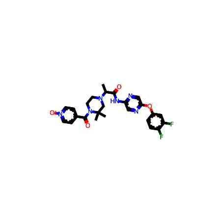 CC(C(=O)Nc1cnc(Oc2ccc(F)c(F)c2)cn1)N1CCN(C(=O)c2cc[n+]([O-])cc2)C(C)(C)C1